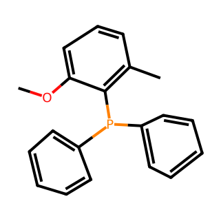 COc1cccc(C)c1P(c1ccccc1)c1ccccc1